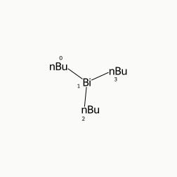 CCC[CH2][Bi]([CH2]CCC)[CH2]CCC